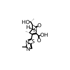 Cc1ncc2sc(C3=C(C(=O)O)N4C(=O)[C@H]([C@@H](C)O)[C@H]4[C@H]3C)cn12